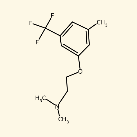 Cc1cc(OCCN(C)C)cc(C(F)(F)F)c1